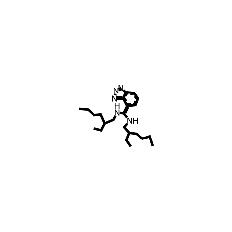 CCCCC(CC)CNC(NCC(CC)CCCC)=c1cccc2c1=NN=N2